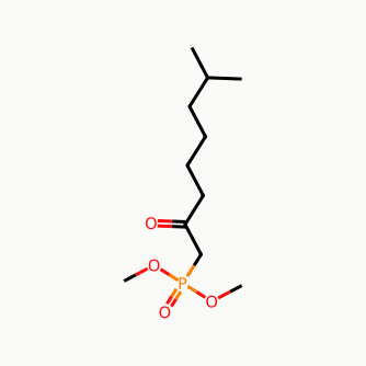 COP(=O)(CC(=O)CCCCC(C)C)OC